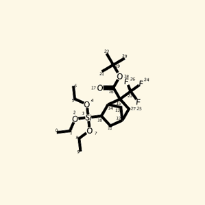 CCO[Si](OCC)(OCC)C1CC2CC1C(C(=O)OC(C)(C)C)(C(F)(F)F)C2